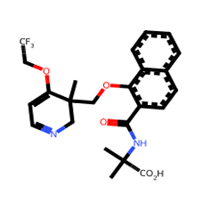 CC1(COc2c(C(=O)NC(C)(C)C(=O)O)ccc3ccccc23)CN=CC=C1OCC(F)(F)F